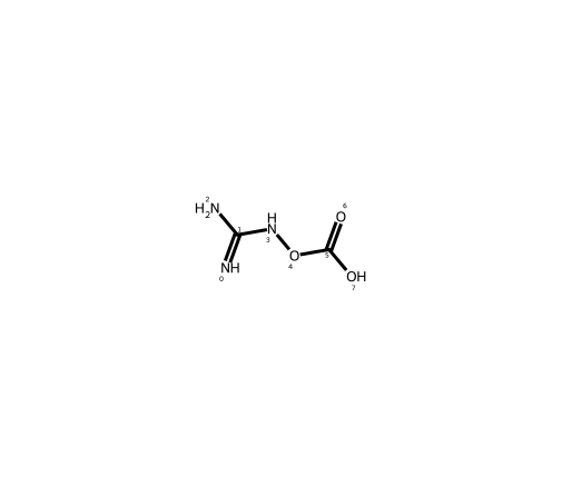 N=C(N)NOC(=O)O